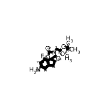 CC(C)(C)OC(=O)CN1C(=O)OC2(CCc3cc(N)cc(F)c32)C1=O